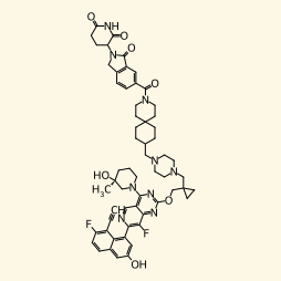 C#Cc1c(F)ccc2cc(O)cc(-c3ncc4c(N5CCC[C@@](C)(O)C5)nc(OCC5(CN6CCN(CC7CCC8(CC7)CCN(C(=O)c7ccc9c(c7)C(=O)N(C7CCC(=O)NC7=O)C9)CC8)CC6)CC5)nc4c3F)c12